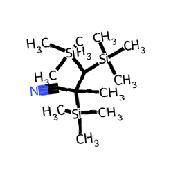 CC(C#N)(C([Si](C)(C)C)[Si](C)(C)C)[Si](C)(C)C